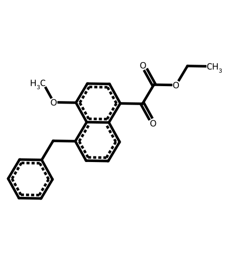 CCOC(=O)C(=O)c1ccc(OC)c2c(Cc3ccccc3)cccc12